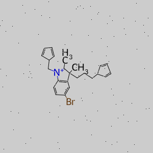 CC1=[N+](CC2C=CC=C2)c2ccc(Br)cc2C1(C)CCCC1C=CC=C1